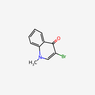 Cn1cc(Br)c(=O)c2ccccc21